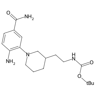 CC(C)(C)OC(=O)NCCC1CCCN(c2cc(C(N)=O)ccc2N)C1